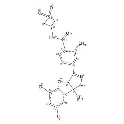 Cc1cc(C2=NOC(c3cc(Cl)cc(Cl)c3)(C(F)(F)F)C2Cl)ccc1C(=O)NC1CS(=O)(=O)C1